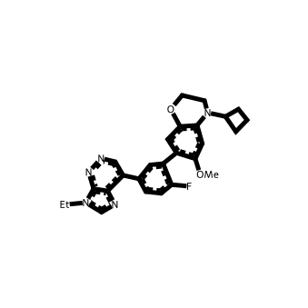 CCn1cnc2c(-c3ccc(F)c(-c4cc5c(cc4OC)N(C4CCC4)CCO5)c3)cnnc21